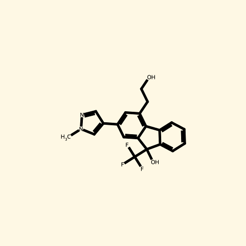 Cn1cc(-c2cc(CCO)c3c(c2)C(O)(C(F)(F)F)c2ccccc2-3)cn1